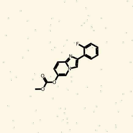 COC(=O)Oc1ccc2nc(-c3ccccc3F)cn2c1